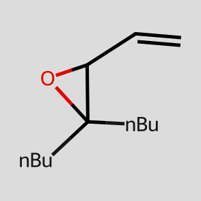 C=CC1OC1(CCCC)CCCC